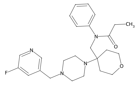 CCC(=O)N(CC1(N2CCN(Cc3cncc(F)c3)CC2)CCOCC1)c1ccccc1